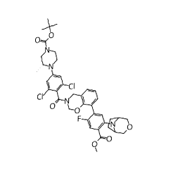 COC(=O)c1cc(F)c(-c2cccc3c2OCN(C(=O)c2c(Cl)cc(N4CCN(C(=O)OC(C)(C)C)C[C@H]4C)cc2Cl)C3)cc1N1C2CCC1COC2